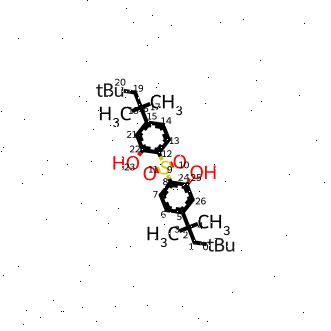 CC(C)(C)CC(C)(C)c1ccc(S(=O)(=O)c2ccc(C(C)(C)CC(C)(C)C)cc2O)c(O)c1